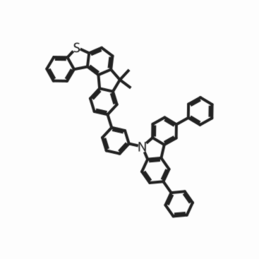 CC1(C)c2cc(-c3cccc(-n4c5ccc(-c6ccccc6)cc5c5cc(-c6ccccc6)ccc54)c3)ccc2-c2c1ccc1sc3ccccc3c21